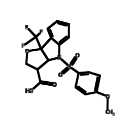 COc1ccc(S(=O)(=O)N2c3ccccc3C3(C(F)(F)F)OCC(C(=O)O)C23)cc1